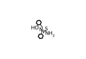 NC(=S)N(/N=C/c1ccccc1O)c1ccccc1